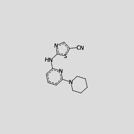 N#Cc1cnc(Nc2cccc(N3CCCCC3)n2)s1